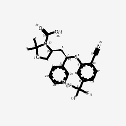 CC1(C)OC[C@H](C[C@@H](Sc2cc(C(F)(F)F)ccc2C#N)c2cccnc2)N1C(=O)O